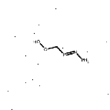 OOCP=NP